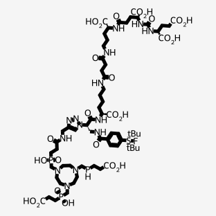 CC(C)(C)S(F)(c1ccc(C(=O)NC[C@@H](C(=O)N[C@@H](CCCCNC(=O)CCC(=O)NCCC[C@@H](NC(=O)CC[C@H](NC(=O)N[C@@H](CCC(=O)O)C(=O)O)C(=O)O)C(=O)O)C(=O)O)n2cc(CNC(=O)CCP(=O)(O)CN3CCN(CPCCC(=O)O)CCN(CP(=O)(O)CCC(=O)O)CC3)nn2)cc1)C(C)(C)C